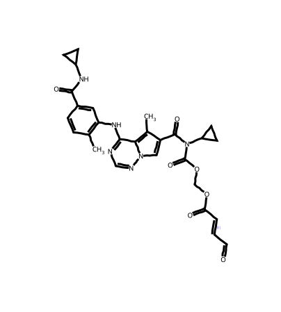 Cc1ccc(C(=O)NC2CC2)cc1Nc1ncnn2cc(C(=O)N(C(=O)OCOC(=O)/C=C/C=O)C3CC3)c(C)c12